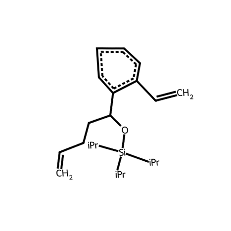 C=CCCC(O[Si](C(C)C)(C(C)C)C(C)C)c1ccccc1C=C